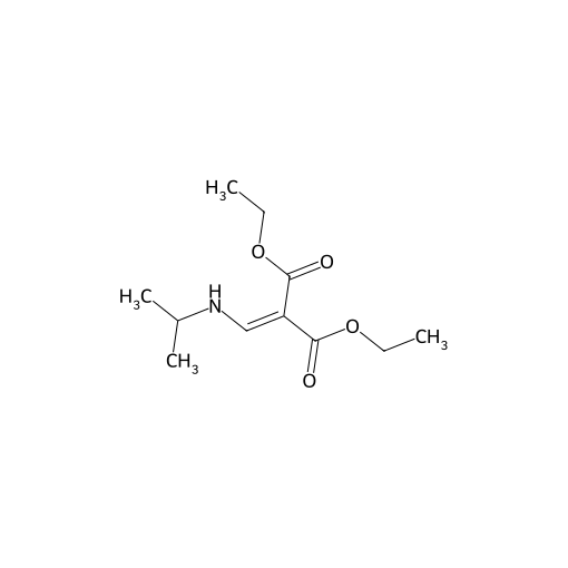 CCOC(=O)C(=CNC(C)C)C(=O)OCC